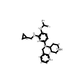 FC(F)Oc1ccc(N(Cc2cccnc2)C2CCNCC2)nc1OCC1CC1